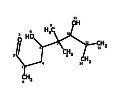 CC(C=O)CC(O)C(C)(C)C(O)C(C)C